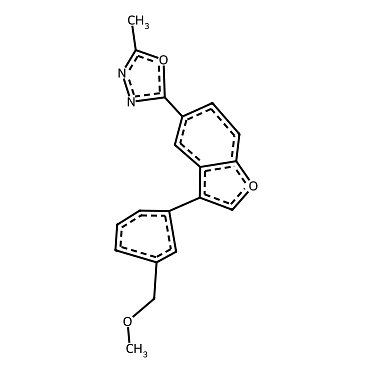 COCc1cccc(-c2coc3ccc(-c4nnc(C)o4)cc23)c1